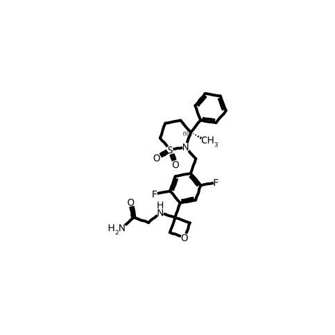 C[C@@]1(c2ccccc2)CCCS(=O)(=O)N1Cc1cc(F)c(C2(NCC(N)=O)COC2)cc1F